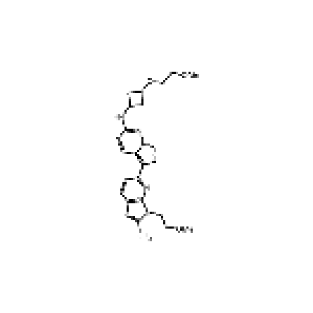 COCCO[C@H]1C[C@@H](Nc2ncc3c(-c4ccc5nc(C)n(CCOC)c5n4)ccn3n2)C1